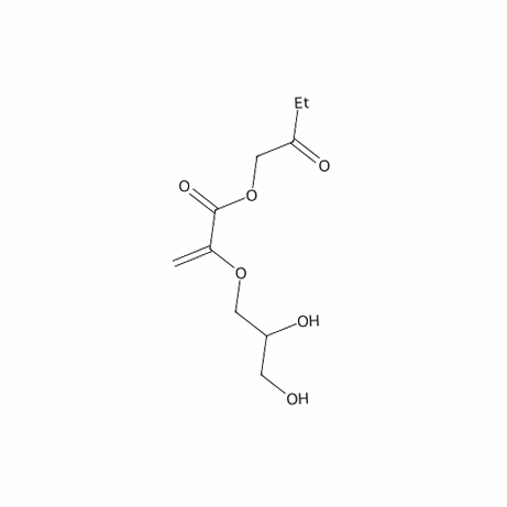 C=C(OCC(O)CO)C(=O)OCC(=O)CC